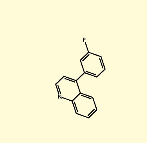 Fc1cccc(-c2ccnc3ccccc23)c1